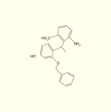 CC(c1ccccc1OCc1ccccc1)c1c(N)cccc1C(=O)O.Cl